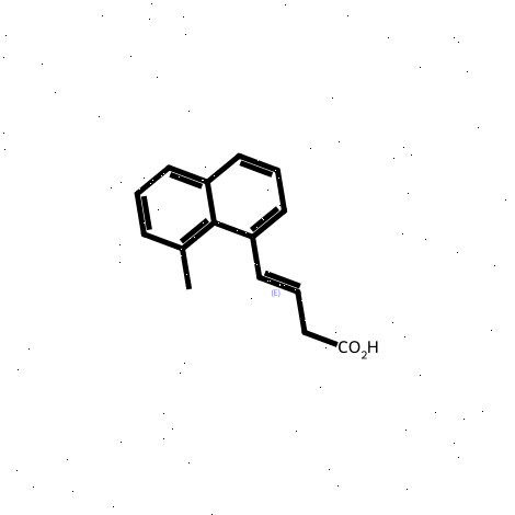 Cc1cccc2cccc(/C=C/CC(=O)O)c12